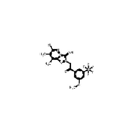 COc1cc(C(=O)Cn2nc3c(C)c(C)c(Cl)nn3c2=N)cc(S(F)(F)(F)(F)F)c1